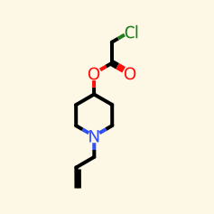 C=CCN1CCC(OC(=O)CCl)CC1